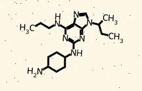 CCCNc1nc(NC2CCC(N)CC2)nc2c1ncn2C(C)CC